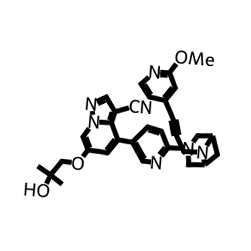 COc1cc(C#CCN2C3CC2CN(c2ccc(-c4cc(OCC(C)(C)O)cn5ncc(C#N)c45)cn2)C3)ccn1